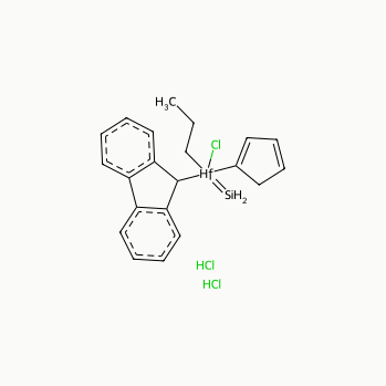 CC[CH2][Hf](=[SiH2])([Cl])([C]1=CC=CC1)[CH]1c2ccccc2-c2ccccc21.Cl.Cl